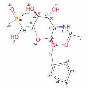 CC(=O)N[C@H]1[C@@H](OCc2ccccc2)O[C@H](C(O)P(C)(C)=O)[C@@H](O)[C@@H]1O